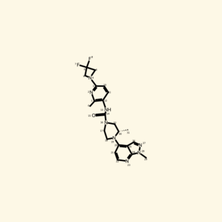 Cc1nc(N2CC(F)(F)C2)ccc1NC(=O)N1CCN(c2ccnc3c2cnn3C)[C@@H](C)C1